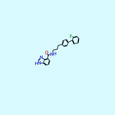 O=C(NCCCc1ccc(-c2ccccc2F)cc1)c1cccc2[nH]cnc12